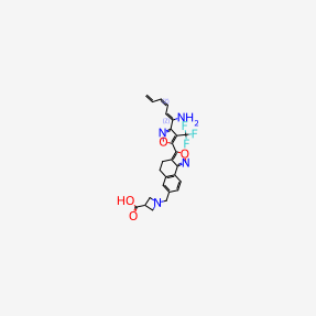 C=C/C=C\C=C(/N)c1noc(-c2onc3c2CCc2cc(CN4CC(C(=O)O)C4)ccc2-3)c1C(F)(F)F